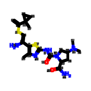 C=C(S/C=C(\N)c1sc(NC(=O)N2C[C@@H](N(C)C)CC2C(N)=O)nc1C)C1(C)CC1